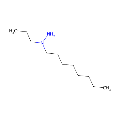 CCCCCCCCN(N)CCC